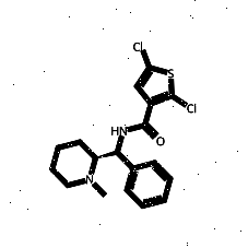 CN1CCCC[C@H]1C(NC(=O)c1cc(Cl)sc1Cl)c1ccccc1